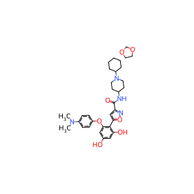 C1COCO1.CN(C)c1ccc(Oc2cc(O)cc(O)c2-c2cc(C(=O)NC3CCN(C4CCCCC4)CC3)no2)cc1